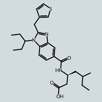 CCC(C)C[C@@H](CC(=O)O)NC(=O)c1ccc2c(c1)nc(Cc1ccsc1)n2C(CC)CC